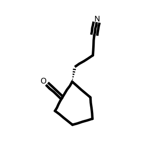 N#CCC[C@@H]1CCCCC1=O